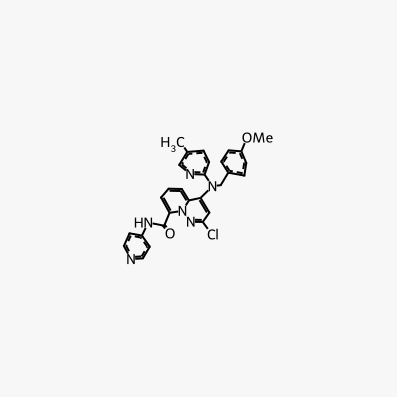 COc1ccc(CN(C2=CC(Cl)=NN3C2=C=CC=C3C(=O)Nc2ccncc2)c2ccc(C)cn2)cc1